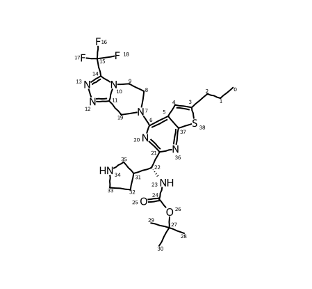 CCCc1cc2c(N3CCn4c(nnc4C(F)(F)F)C3)nc([C@H](NC(=O)OC(C)(C)C)C3CCNC3)nc2s1